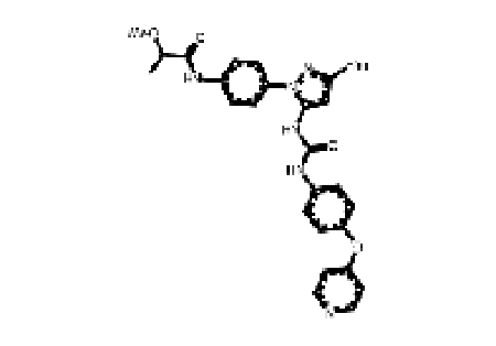 COC(C)C(=O)Nc1ccc(-n2nc(C(C)(C)C)cc2NC(=O)Nc2ccc(Oc3ccncc3)cc2)cc1